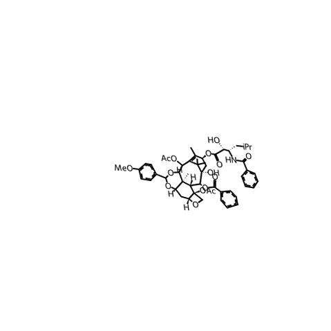 COc1ccc(C2O[C@H]3C[C@H]4OC[C@@]4(OC(C)=O)[C@H]4[C@H](OC(=O)c5ccccc5)[C@]5(O)C[C@H](OC(=O)[C@H](O)[C@H](CC(C)C)NC(=O)c6ccccc6)C(C)=C(C(OC(C)=O)[C@H](O2)[C@]34C)C5(C)C)cc1